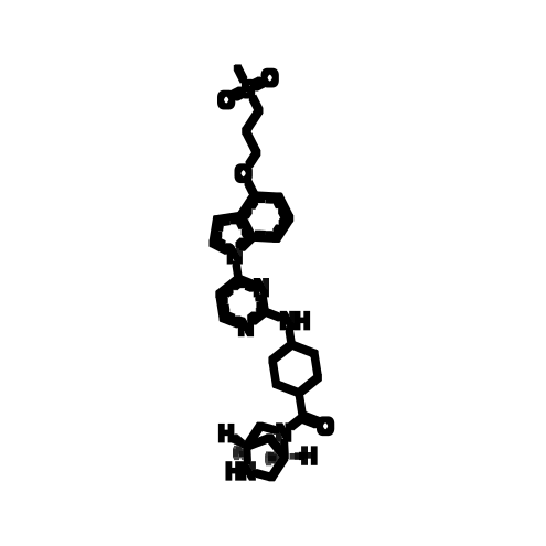 CS(=O)(=O)CCCOc1cccc2c1ccn2-c1ccnc(NC2CCC(C(=O)N3C[C@@H]4C[C@@H]3CN4)CC2)n1